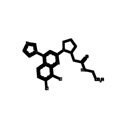 O=C(O)CNC(=O)CC1CCCN1c1cc(-n2ccnc2)c2ccc(Cl)c(Cl)c2n1